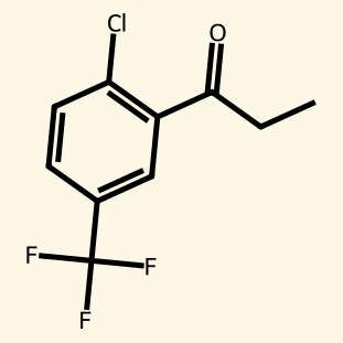 CCC(=O)c1cc(C(F)(F)F)ccc1Cl